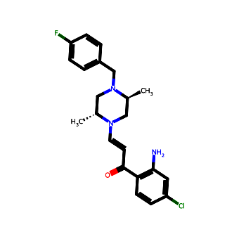 C[C@@H]1CN(Cc2ccc(F)cc2)[C@@H](C)CN1/C=C/C(=O)c1ccc(Cl)cc1N